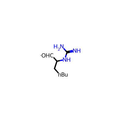 CCCCCC([C]=O)NC(=N)N